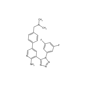 CN(C)Cc1ccc(-c2cnc(N)c(-c3nnnn3-c3cc(F)cc(F)c3)c2)cc1